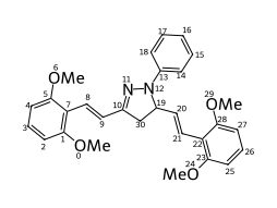 COc1cccc(OC)c1C=CC1=NN(c2ccccc2)C(C=Cc2c(OC)cccc2OC)C1